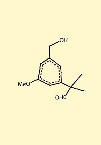 COc1cc(CO)cc(C(C)(C)C=O)c1